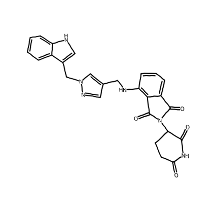 O=C1CCC(N2C(=O)c3cccc(NCc4cnn(Cc5c[nH]c6ccccc56)c4)c3C2=O)C(=O)N1